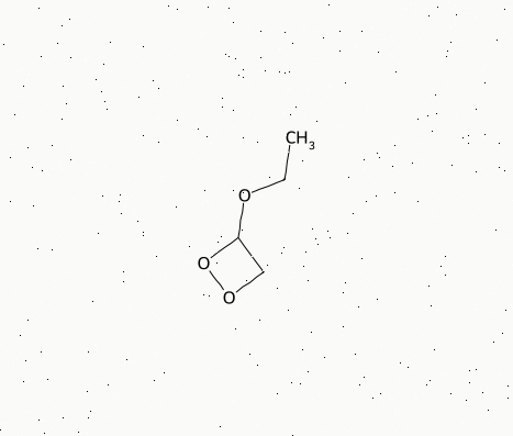 CCOC1COO1